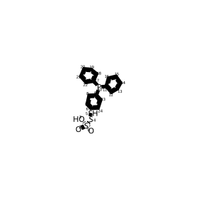 O=S(=O)(O)SS.c1ccc(P(c2ccccc2)c2ccccc2)cc1